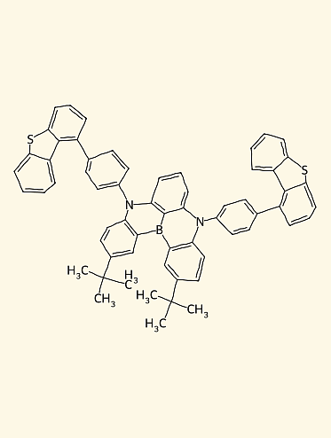 CC(C)(C)c1ccc2c(c1)B1c3cc(C(C)(C)C)ccc3N(c3ccc(-c4cccc5sc6ccccc6c45)cc3)c3cccc(c31)N2c1ccc(-c2cccc3sc4ccccc4c23)cc1